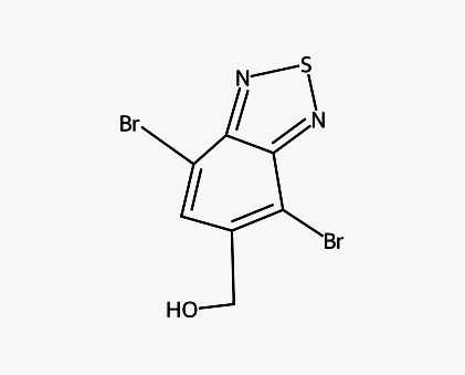 OCc1cc(Br)c2nsnc2c1Br